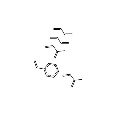 C=CC(=C)C.C=CC(=C)C.C=CC=C.C=CC=C.C=Cc1ccccc1